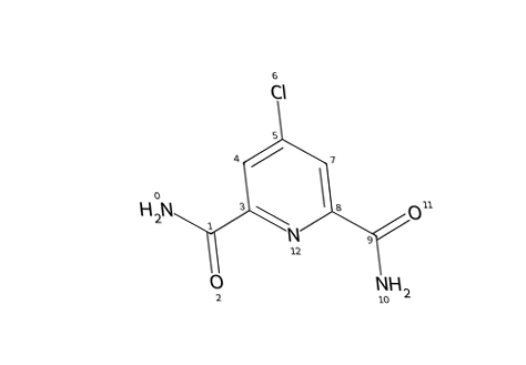 NC(=O)c1cc(Cl)cc(C(N)=O)n1